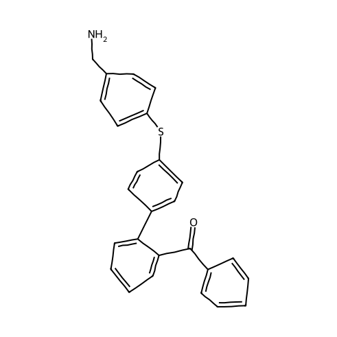 NCc1ccc(Sc2ccc(-c3ccccc3C(=O)c3ccccc3)cc2)cc1